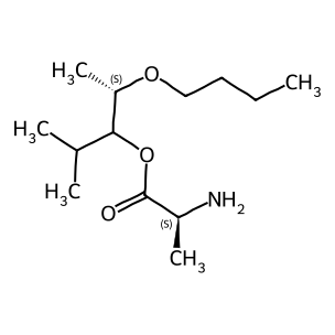 CCCCO[C@@H](C)C(OC(=O)[C@H](C)N)C(C)C